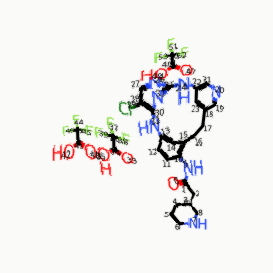 O=C(C[C@@H]1CCCNC1)Nc1ccc2cc1CCc1cncc(c1)Nc1ncc(Cl)c(n1)N2.O=C(O)C(F)(F)F.O=C(O)C(F)(F)F.O=C(O)C(F)(F)F